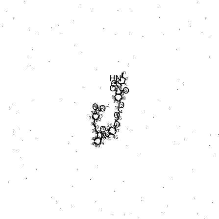 C=C1CCC(N2C(=O)c3ccc(OCCOCCOc4ccc(CN5C(=O)/C(=C\C=C\c6ccc([N+](=O)[O-])cc6)c6ccccc65)cc4)cc3C2=O)C(=O)N1